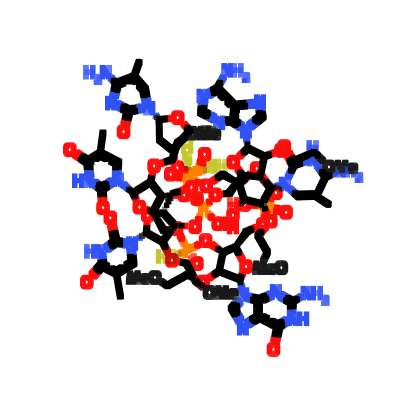 CC[C@H]1O[C@@H](n2cc(C)c(N)nc2=O)C[C@H]1OP(=O)(S)OC[C@H]1O[C@@H](n2cc(C)c(=O)[nH]c2=O)C(OCCOC)[C@H]1OP(=O)(O)OC[C@H]1O[C@@H](n2cnc3c(N)ncnc32)C(OCCOC)[C@H]1OP(=O)(O)OC[C@H]1O[C@@H](n2cnc3c(=O)[nH]c(N)nc32)C(OCCOC)[C@H]1OP(=O)(S)OC[C@H]1O[C@@H](n2cc(C)c(=O)[nH]c2=O)C(OCCOC)[C@H]1OP(=O)(S)OC[C@H]1O[C@@H](N2C=C(C)C(N)NC2=O)C(OCCOC)[C@H]1O